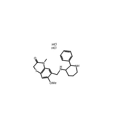 COc1cc2c(cc1CNC1CCCNC1c1ccccc1)N(C)C(=O)CS2.Cl.Cl